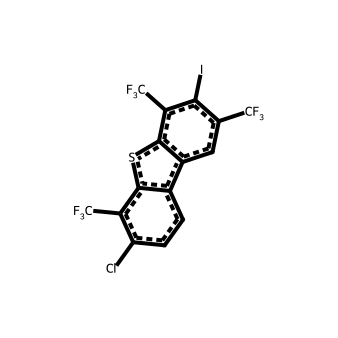 FC(F)(F)c1cc2c(sc3c(C(F)(F)F)c(Cl)ccc32)c(C(F)(F)F)c1I